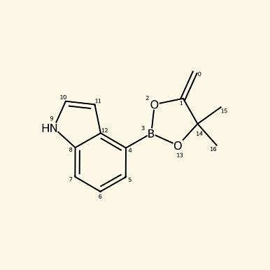 C=C1OB(c2cccc3[nH]ccc23)OC1(C)C